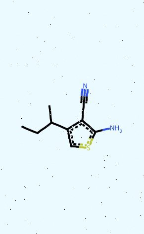 CCC(C)c1csc(N)c1C#N